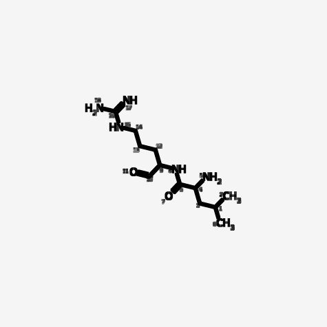 CC(C)CC(N)C(=O)NC([C]=O)CCCNC(=N)N